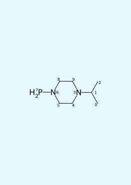 CC(C)N1CCN(P)CC1